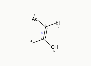 CC/C(C(C)=O)=C(/C)O